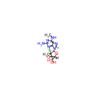 CNc1nc(N)nc2c1ncn2[C@@H]1O[C@@H]2C(O)[C@]2(O)[C@@]1(C)F